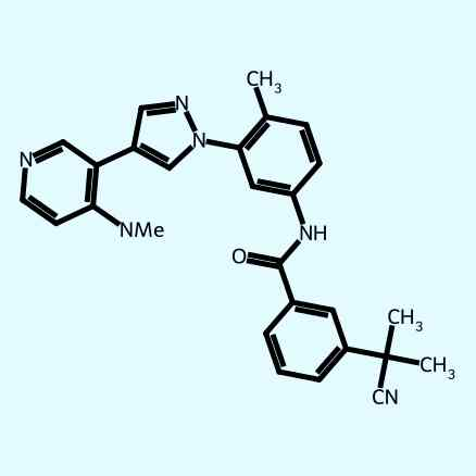 CNc1ccncc1-c1cnn(-c2cc(NC(=O)c3cccc(C(C)(C)C#N)c3)ccc2C)c1